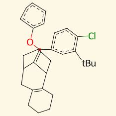 CC(C)(C)c1cc(/C(Oc2ccccc2)=C2/C3CCCC2C2=C(CCCC2)C3)ccc1Cl